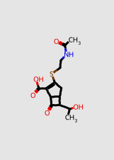 CC(=O)NCCSC1=C(C(=O)O)C2C(=O)C(C(C)O)C2C1